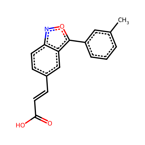 Cc1cccc(-c2onc3ccc(/C=C/C(=O)O)cc23)c1